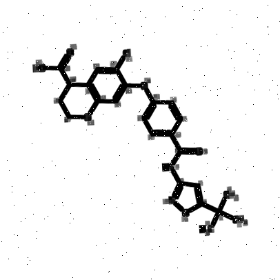 CC(C)(C)c1cc(NC(=O)c2ccc(Oc3cc4c(cc3Cl)C(C(=O)O)CCO4)cc2)no1